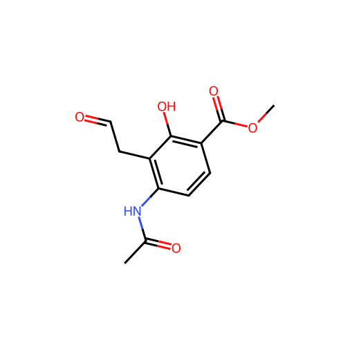 COC(=O)c1ccc(NC(C)=O)c(CC=O)c1O